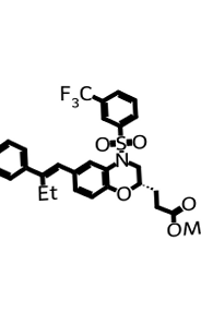 CC/C(=C\c1ccc2c(c1)N(S(=O)(=O)c1cccc(C(F)(F)F)c1)C[C@H](CCC(=O)OC)O2)c1ccccc1